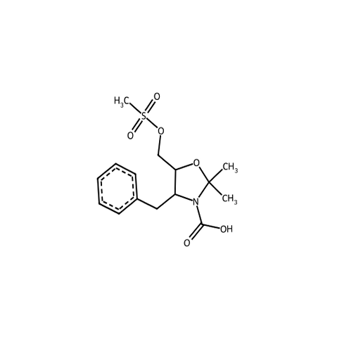 CC1(C)OC(COS(C)(=O)=O)C(Cc2ccccc2)N1C(=O)O